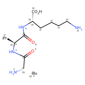 CC[C@H](C)[C@H](N)C(=O)N[C@H](C(=O)N[C@@H](CCCCN)C(=O)O)C(C)C